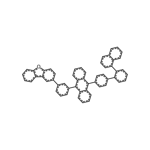 c1cc(-c2ccc3oc4ccccc4c3c2)cc(-c2c3ccccc3c(-c3ccc(-c4ccccc4-c4cccc5ccccc45)cc3)c3ccccc23)c1